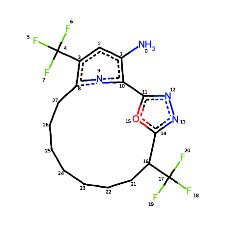 Nc1cc(C(F)(F)F)c2nc1-c1nnc(o1)C(C(F)(F)F)CCCCCCC2